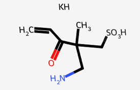 C=CC(=O)C(C)(CN)CS(=O)(=O)O.[KH]